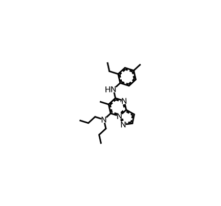 CCCN(CCC)c1c(C)c(Nc2ccc(C)cc2CC)nc2ccnn12